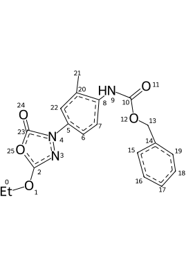 CCOc1nn(-c2ccc(NC(=O)OCc3ccccc3)c(C)c2)c(=O)o1